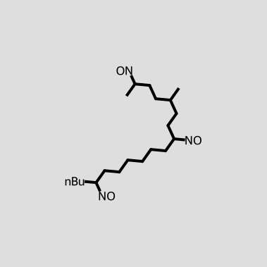 CCCCC(CCCCCCC(CCC(C)CCC(C)N=O)N=O)N=O